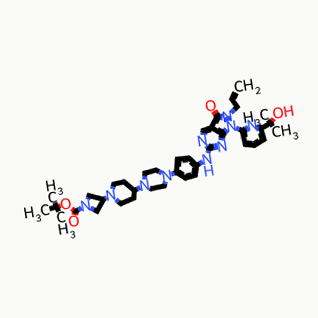 C=CCn1c(=O)c2cnc(Nc3ccc(N4CCN(C5CCN(C6CN(C(=O)OC(C)(C)C)C6)CC5)CC4)cc3)nc2n1-c1cccc(C(C)(C)O)n1